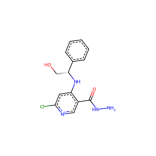 NNC(=O)c1cnc(Cl)cc1N[C@H](CO)c1ccccc1